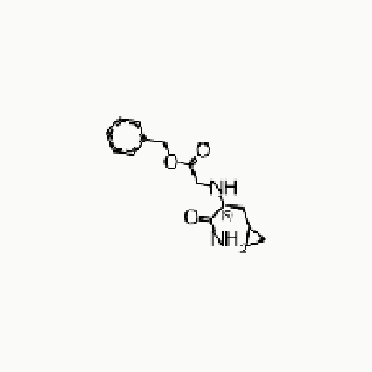 NC(=O)[C@H](CC1CC1)NCC(=O)OCc1ccccc1